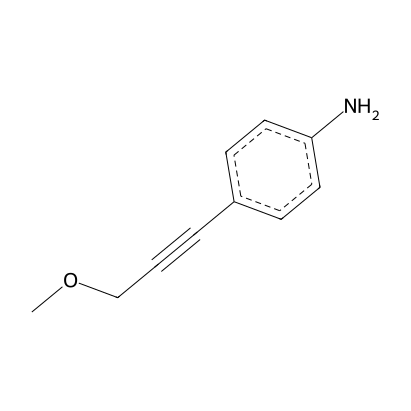 COCC#Cc1ccc(N)cc1